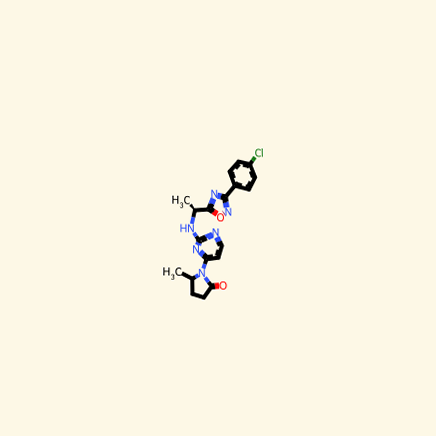 CC1CCC(=O)N1c1ccnc(N[C@@H](C)c2nc(-c3ccc(Cl)cc3)no2)n1